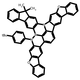 CC(C)(C)c1ccc(N2B3c4cc5c(cc4-n4c6cc7oc8ccccc8c7cc6c6ccc(c3c64)-c3cc4c(cc32)oc2ccccc24)C(C)(C)c2ccccc2-5)cc1